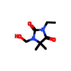 CCN1C(=O)N(CO)C(C)(C)C1=O